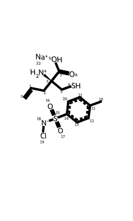 C=CC[C@@](N)(CS)C(=O)O.Cc1ccc(S(=O)(=O)[N-]Cl)cc1.[Na+]